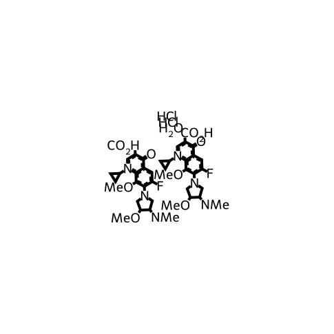 CNC1CN(c2c(F)cc3c(=O)c(C(=O)O)cn(C4CC4)c3c2OC)CC1OC.CNC1CN(c2c(F)cc3c(=O)c(C(=O)O)cn(C4CC4)c3c2OC)CC1OC.Cl.Cl.O